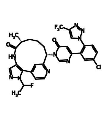 CC(F)n1ncc2c1-c1ccnc(c1)[C@@H](n1cnc(-c3cc(Cl)ccc3-n3cc(C(F)(F)F)nn3)cc1=O)CCC[C@@H](C)C(=O)N2